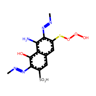 CN=Nc1c(SOOO)cc2cc(S(=O)(=O)O)c(N=NC)c(O)c2c1N